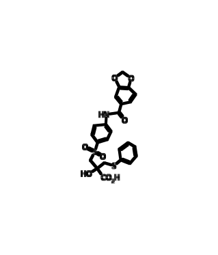 O=C(Nc1ccc(S(=O)(=O)CC(O)(CSc2ccccc2)C(=O)O)cc1)c1ccc2c(c1)OCO2